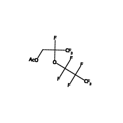 CC(=O)OCC(F)(OC(F)(F)C(F)(F)C(F)(F)F)C(F)(F)F